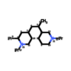 CC(C)C1CC(CC(C)C2CCCN(C(C)C)C2)CCN1C(C)C